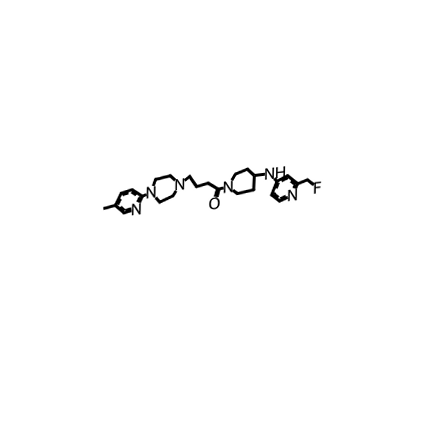 Cc1ccc(N2CCN(CCCC(=O)N3CCC(Nc4ccnc(CF)c4)CC3)CC2)nc1